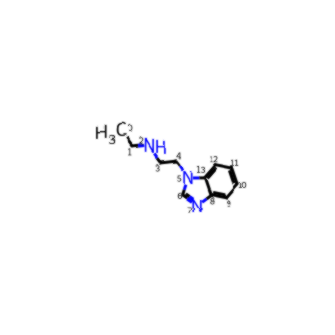 CCNCCn1cnc2ccccc21